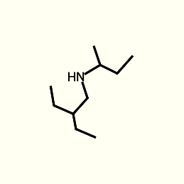 CCC(CC)CNC(C)CC